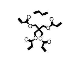 C=CC(=O)OCC(COC(=O)C=C)(COC(=O)C=C)COC(=O)C=C.C=CC=C